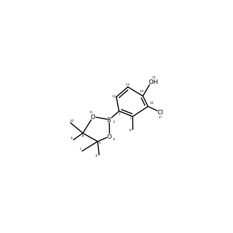 Cc1c(B2OC(C)(C)C(C)(C)O2)ccc(O)c1Cl